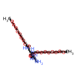 CCCOCCOCCOCCOCCOCCOCCOCCOCCC(=O)NCCCC[C@@H](NC(=O)CCOCCOCCOCCOCCOCCOCCOCCOCCC)C(=O)NC(CCCCN)C(N)=O